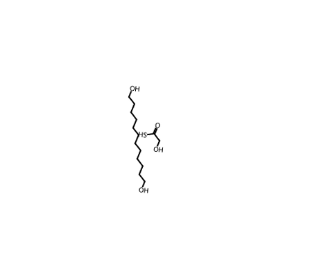 O=C(S)CO.OCCCCCCCCCCCCO